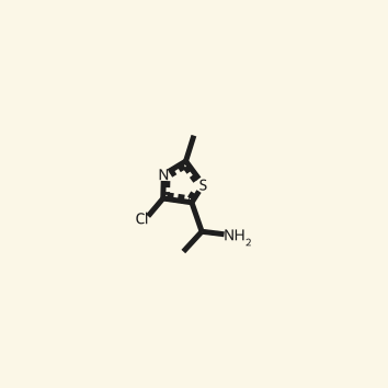 Cc1nc(Cl)c(C(C)N)s1